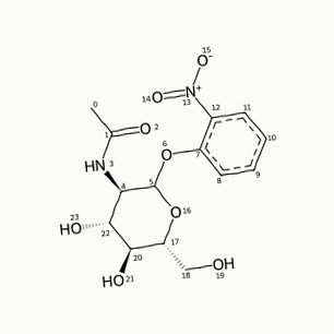 CC(=O)N[C@H]1C(Oc2ccccc2[N+](=O)[O-])O[C@H](CO)[C@@H](O)[C@@H]1O